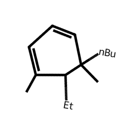 [CH2]CC1C(C)=CC=CC1(C)CCCC